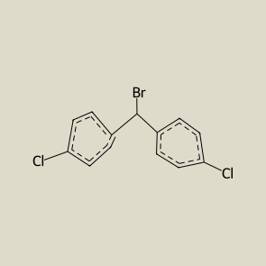 Clc1ccc(C(Br)c2ccc(Cl)cc2)cc1